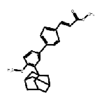 COC(=O)C=Cc1ccc(-c2ccc(OC)c(C34CC5CC(CC(C5)C3)C4)c2)cc1